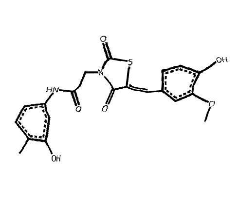 COc1cc(/C=C2\SC(=O)N(CC(=O)Nc3ccc(C)c(O)c3)C2=O)ccc1O